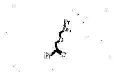 CC(C)NCOCC(=O)C(C)C